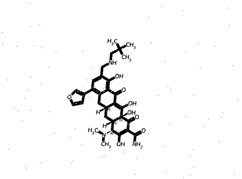 CN(C)[C@H]1C(O)=C(C(N)=O)C(=O)[C@@]2(O)C(O)=C3C(=O)c4c(O)c(CNCC(C)(C)C)cc(-c5ccoc5)c4C[C@H]3C[C@@H]12